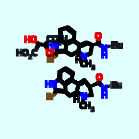 CC[C@@H](C)NC(=O)[C@@H]1C=C2c3cccc4[nH]c(Br)c(c34)C[C@H]2N(C)C1.CC[C@@H](C)NC(=O)[C@@H]1C=C2c3cccc4[nH]c(Br)c(c34)C[C@H]2N(C)C1.O=C(O)C(O)C(O)C(=O)O